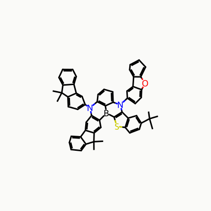 CC(C)(C)c1ccc2sc3c(c2c1)N(c1ccc2oc4ccccc4c2c1)c1cccc2c1B3c1cc3c(cc1N2c1ccc2c(c1)-c1ccccc1C2(C)C)-c1ccccc1C3(C)C